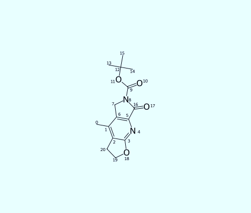 Cc1c2c(nc3c1CN(C(=O)OC(C)(C)C)C3=O)OCC2